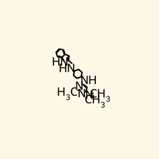 Cc1nc(NC2CCC(NCc3cc4ccccc4[nH]3)CC2)cc(N(C)C)n1